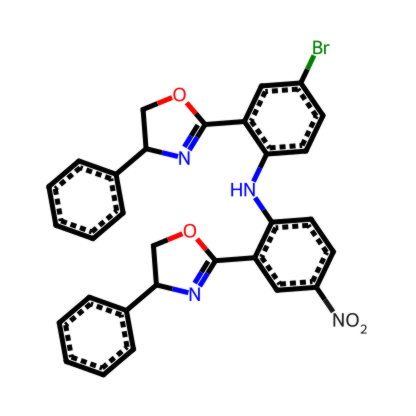 O=[N+]([O-])c1ccc(Nc2ccc(Br)cc2C2=NC(c3ccccc3)CO2)c(C2=NC(c3ccccc3)CO2)c1